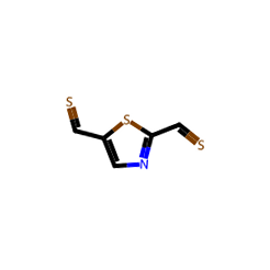 S=Cc1cnc(C=S)s1